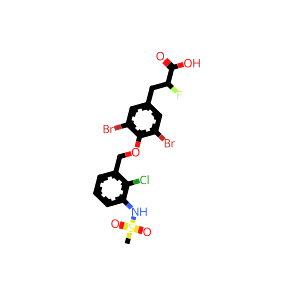 CS(=O)(=O)Nc1cccc(COc2c(Br)cc(CC(F)C(=O)O)cc2Br)c1Cl